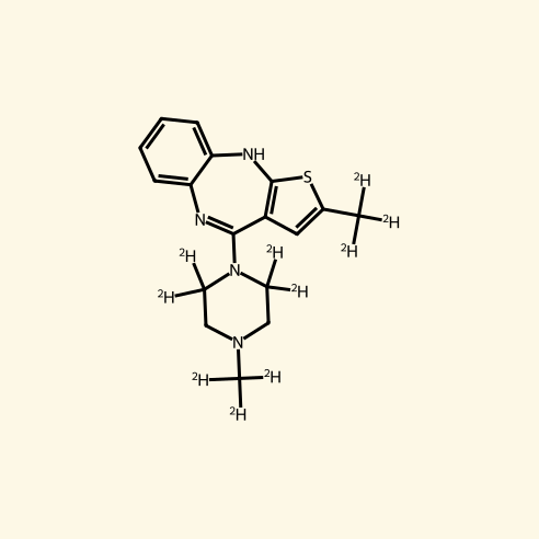 [2H]C([2H])([2H])c1cc2c(s1)Nc1ccccc1N=C2N1C([2H])([2H])CN(C([2H])([2H])[2H])CC1([2H])[2H]